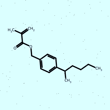 C=C(C)C(=O)OCc1ccc(C(C)CCCC)cc1